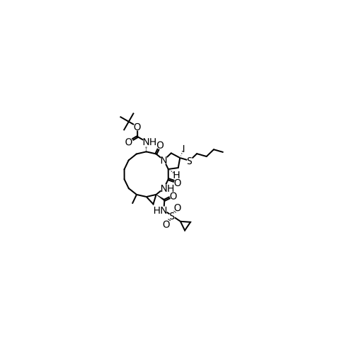 CCCCS[C@@]1(I)C[C@H]2C(=O)N[C@]3(C(=O)NS(=O)(=O)C4CC4)CC3C(C)CCCCC[C@H](NC(=O)OC(C)(C)C)C(=O)N2C1